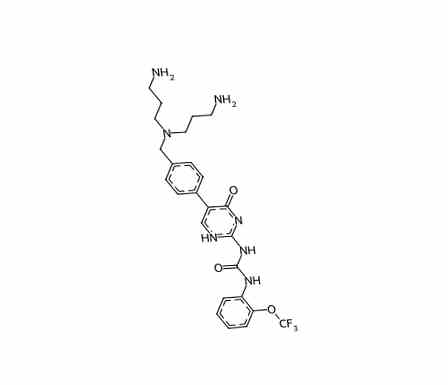 NCCCN(CCCN)Cc1ccc(-c2c[nH]c(NC(=O)Nc3ccccc3OC(F)(F)F)nc2=O)cc1